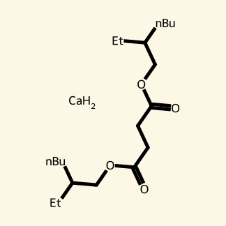 CCCCC(CC)COC(=O)CCC(=O)OCC(CC)CCCC.[CaH2]